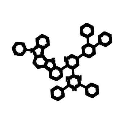 c1ccc(-c2nc(-c3ccccc3)nc(-c3cc(-c4ccc(-c5ccccc5)c(-c5ccccc5)c4)cnc3-c3cccc4c3sc3c4ccc4c3c3ccccc3n4-c3ccccc3)n2)cc1